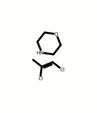 C/C(Cl)=C/Cl.C1COCCN1